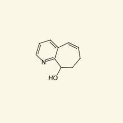 OC1CCC=Cc2cccnc21